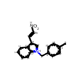 Cc1ccc(Cn2cc(C=C[N+](=O)[O-])c3ccccc32)cc1